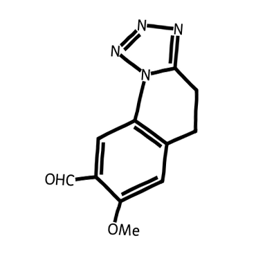 COc1cc2c(cc1C=O)-n1nnnc1CC2